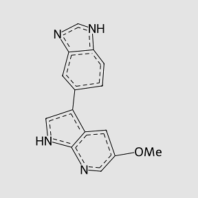 COc1cnc2[nH]cc(-c3ccc4[nH]cnc4c3)c2c1